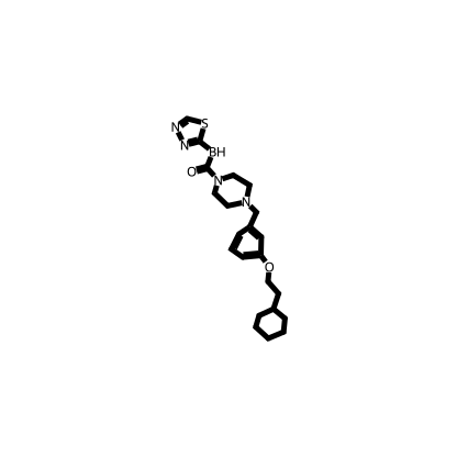 O=C(Bc1nncs1)N1CCN(Cc2cccc(OCCC3CCCCC3)c2)CC1